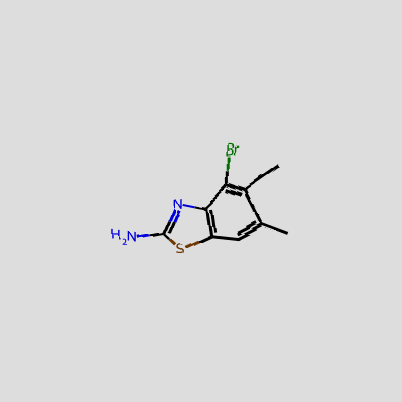 Cc1cc2sc(N)nc2c(Br)c1C